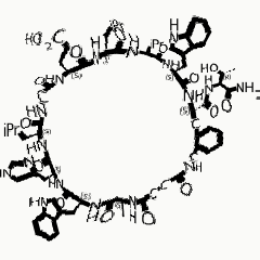 CC(C)C[C@@H]1NC(=O)[C@H](Cc2c[nH]cn2)NC(=O)[C@H](Cc2c[nH]c3ccccc23)NC(=O)[C@H](C)NC(=O)CCC(=O)NCc2ccccc2C[C@@H](C(=O)NC(C(N)=O)[C@@H](C)O)NC(=O)[C@H](Cc2c[nH]c3ccccc23)NC(=O)C(C(C)C)NC(=O)[C@H](CC(C)C)NC(=O)[C@H](CCC(=O)O)NC(=O)CNC1=O